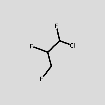 FCC(F)C(F)Cl